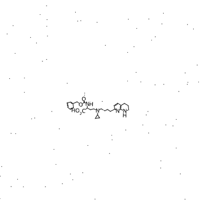 O=C(NC(CCN(CCCCc1ccc2c(n1)NCCC2)C1CC1)C(=O)O)OCc1ccccc1